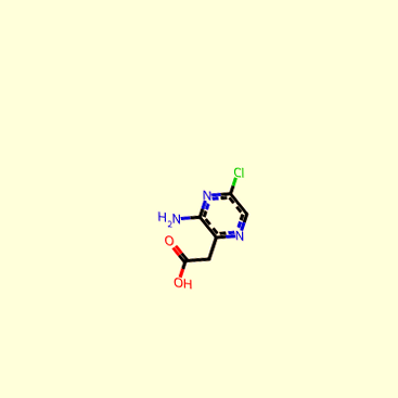 Nc1nc(Cl)cnc1CC(=O)O